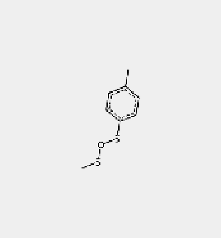 CSOSc1ccc(C)cc1